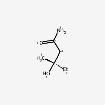 C[CH][C@@](C)(O)CC(N)=O